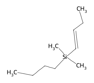 CCC=C[Si](C)(C)CCCC